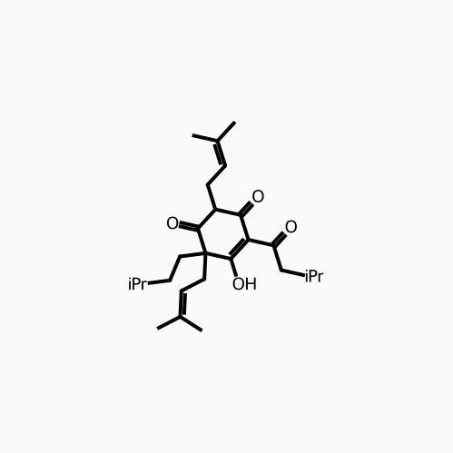 CC(C)=CCC1C(=O)C(C(=O)CC(C)C)=C(O)C(CC=C(C)C)(CCC(C)C)C1=O